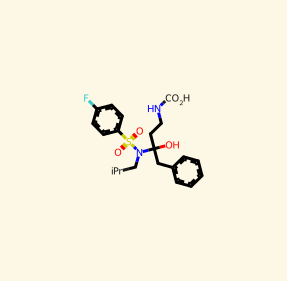 CC(C)CN(C(O)(CCNC(=O)O)Cc1ccccc1)S(=O)(=O)c1ccc(F)cc1